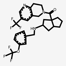 O=C(N1CCc2ncc(C(F)(F)F)cc2C1)C12CCCC1CC(NCc1cccc(OC(F)(F)F)c1)C2